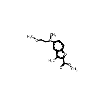 COCCN(C)c1ccc2oc(C(=O)OC)c(C)c2c1